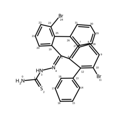 NC(=S)NN=C(c1cccc(Br)c1-c1ccccc1)c1cccc(Br)c1-c1ccccc1